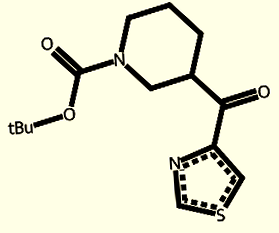 CC(C)(C)OC(=O)N1CCCC(C(=O)c2cscn2)C1